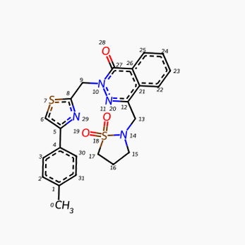 Cc1ccc(-c2csc(Cn3nc(CN4CCCS4(=O)=O)c4ccccc4c3=O)n2)cc1